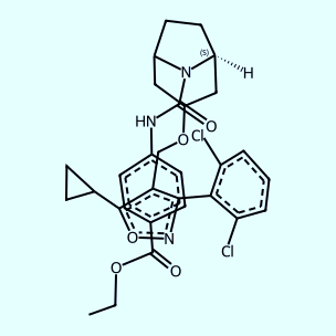 CCOC(=O)c1ccc(NC(=O)N2C3CC[C@H]2CC(OCc2c(-c4c(Cl)cccc4Cl)noc2C2CC2)C3)cc1